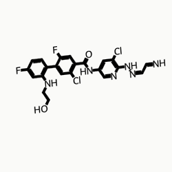 N=C/C=N\Nc1ncc(NC(=O)c2cc(F)c(-c3ccc(F)cc3NCCO)cc2Cl)cc1Cl